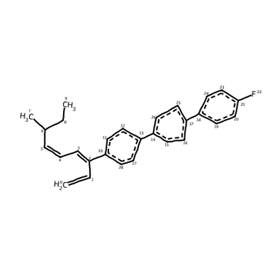 C=C/C(=C\C=C/C(C)CC)c1ccc(-c2ccc(-c3ccc(F)cc3)cc2)cc1